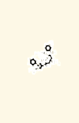 COc1ccc(Cl)cc1NC(=O)CC(C)(C)CC(=O)Nc1cn(C)n(-c2ccccc2)c1=O